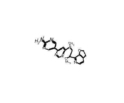 CC(CN(C)c1cc(-c2cnc(N)nc2)ncn1)c1nccc2c1OCC2